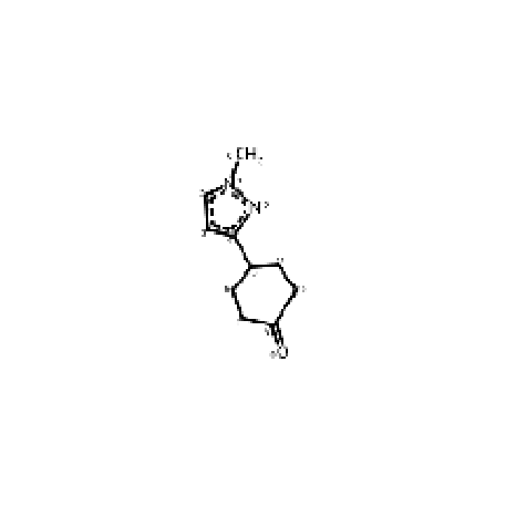 Cn1ccc(C2CCC(=O)CC2)n1